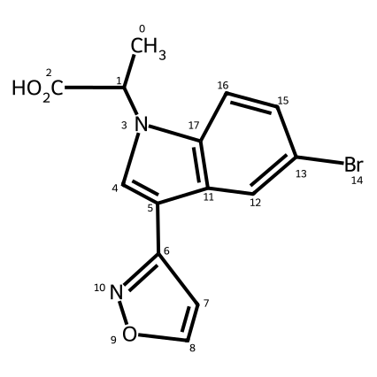 CC(C(=O)O)n1cc(-c2ccon2)c2cc(Br)ccc21